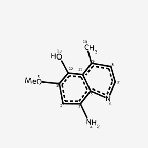 COc1cc(N)c2nccc(C)c2c1O